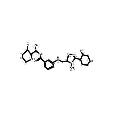 C[C@@H](NC(=O)c1cccc(NCC2NNC(C3CCNCC3F)N2C)c1)C1NCCCC1Cl